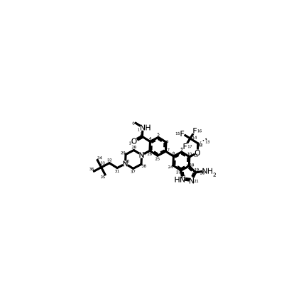 CNC(=O)c1ccc(-c2cc(O[C@@H](C)C(F)(F)F)c3c(N)n[nH]c3c2)cc1N1CCN(CCC(C)(C)C)CC1